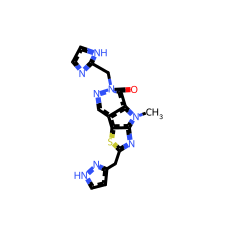 Cn1c2nc(Cc3cc[nH]n3)sc2c2cnn(Cc3ncc[nH]3)c(=O)c21